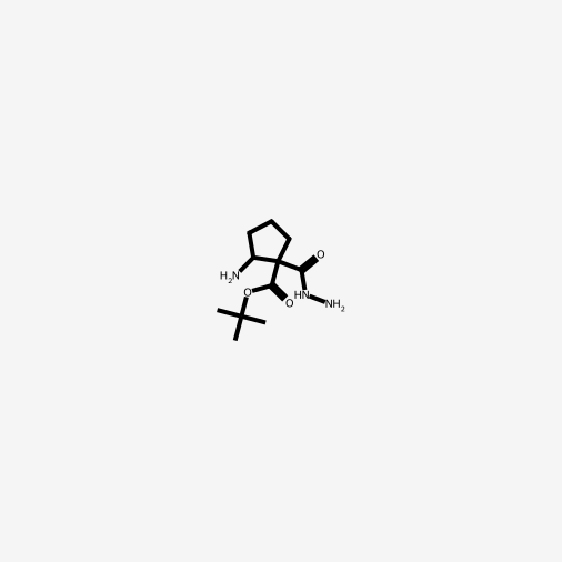 CC(C)(C)OC(=O)C1(C(=O)NN)CCCC1N